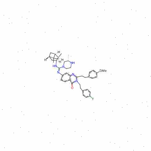 COc1ccc(CCc2nc3cc(N=C(N[C@H]4C[C@@H]5C[C@@H]([C@H]4C)C5(C)C)N4CCN[C@@H](C)C4)ccc3c(=O)n2CCc2ccc(F)cc2)cc1